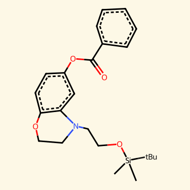 CC(C)(C)[Si](C)(C)OCCN1CCOc2ccc(OC(=O)c3ccccc3)cc21